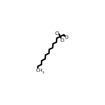 CCCCCCCCCCCCC(Cl)(Cl)C=O